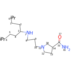 CC(C)CCC(CCC(C)C)NCCCN1CCC(C(N)=O)C1